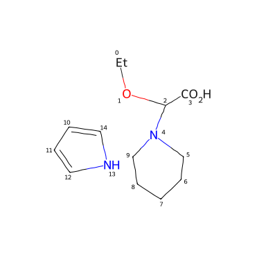 CCOC(C(=O)O)N1CCCCC1.c1cc[nH]c1